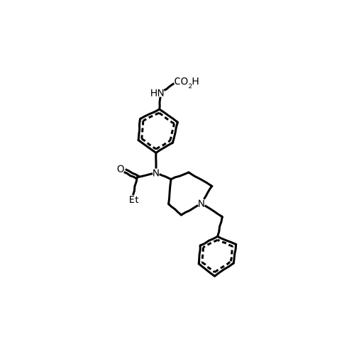 CCC(=O)N(c1ccc(NC(=O)O)cc1)C1CCN(Cc2ccccc2)CC1